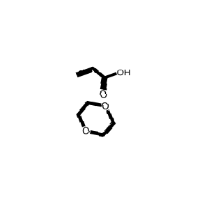 C1COCCO1.C=CC(=O)O